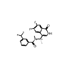 C[C@@H](c1c[nH]c(=O)c2cc(F)c(F)cc12)N(C)C(=O)c1cccc(C(F)F)c1